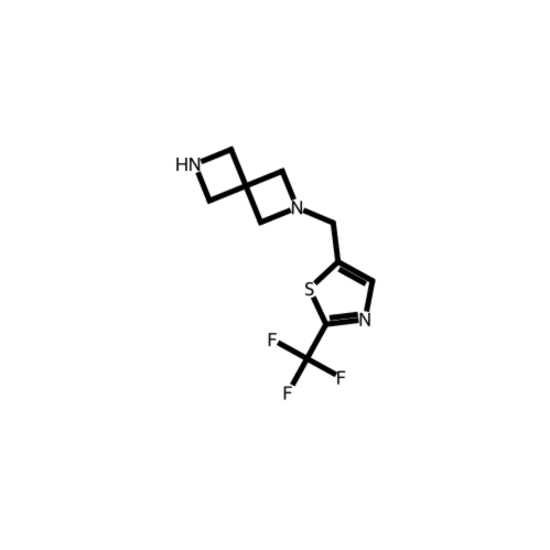 FC(F)(F)c1ncc(CN2CC3(CNC3)C2)s1